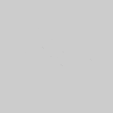 COC(=O)C1CN(c2nc(Nc3cc4c(cc3OC)CCN(C)C4)ncc2Cl)c2ccccc21